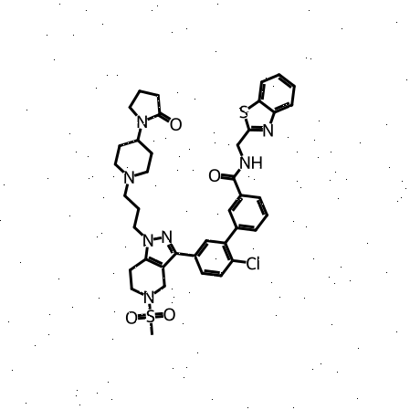 CS(=O)(=O)N1CCc2c(c(-c3ccc(Cl)c(-c4cccc(C(=O)NCc5nc6ccccc6s5)c4)c3)nn2CCCN2CCC(N3CCCC3=O)CC2)C1